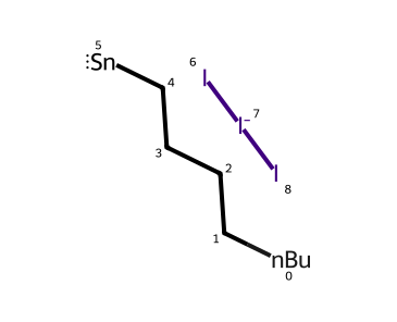 CCCCCCC[CH2][Sn].I[I-]I